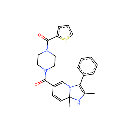 CC1=C(c2ccccc2)N2C=C(C(=O)N3CCN(C(=O)c4cccs4)CC3)C=CC2(C)N1